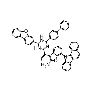 C/C=C(/C1=NC(c2ccc(-c3ccccc3)cc2)NC(c2ccc3c(c2)oc2ccccc23)N1)c1c(N)oc2c(-n3c4ccccc4c4ccc5ccccc5c43)cccc12